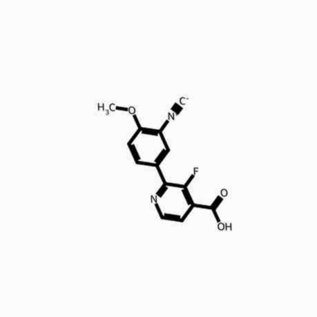 [C-]#[N+]c1cc(-c2nccc(C(=O)O)c2F)ccc1OC